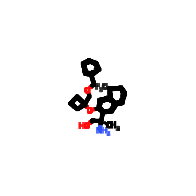 C[C@](N)(CO)c1cc2cccc(C(F)(F)F)c2cc1OC1(COCc2ccccc2)CCC1